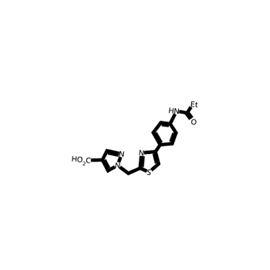 CCC(=O)Nc1ccc(-c2csc(Cn3cc(C(=O)O)cn3)n2)cc1